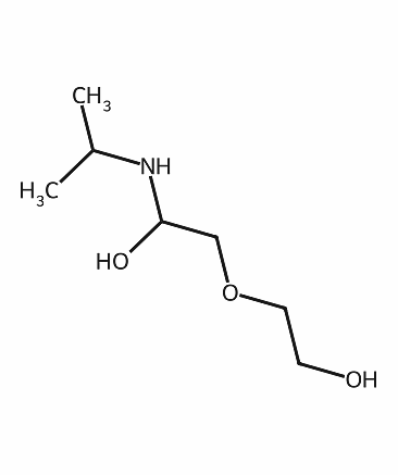 CC(C)NC(O)COCCO